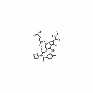 CCNC(=O)c1cn2ncnc(Nc3cc(C(=O)N(C(=O)OCOC(=O)/C=C/C(=O)O)c4ccon4)ccc3C)c2c1C